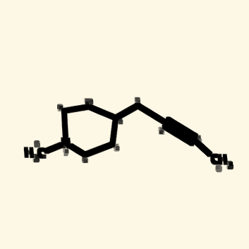 CC#CCC1CCN(C)CC1